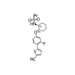 CC(C)S(=O)(=O)N[C@H]1CCCC[C@H]1Oc1ccc(-c2ccc(C#N)s2)c(F)c1